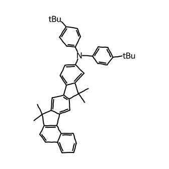 CC(C)(C)c1ccc(N(c2ccc(C(C)(C)C)cc2)c2ccc3c(c2)C(C)(C)c2cc4c(cc2-3)C(C)(C)c2ccc3ccccc3c2-4)cc1